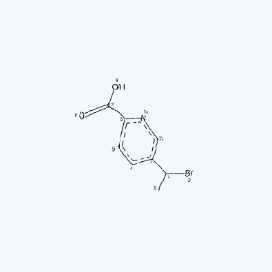 CC(Br)c1ccc(C(=O)O)nc1